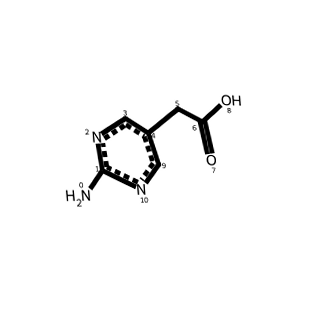 Nc1ncc(CC(=O)O)cn1